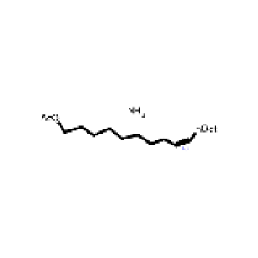 CCCCCCCC/C=C\CCCCCCCCOC(C)=O.N